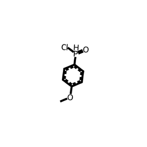 COc1ccc([PH](=O)Cl)cc1